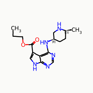 CCCOC(=O)c1c[nH]c2ncnc(N[C@@H]3CC[C@H](C)NC3)c12